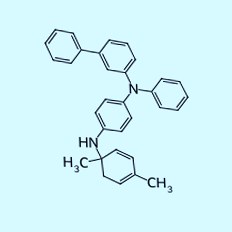 CC1=CCC(C)(Nc2ccc(N(c3ccccc3)c3cccc(-c4ccccc4)c3)cc2)C=C1